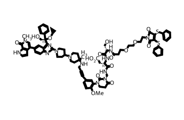 COc1ccc(C#CCNC2(C)CCN(C3CCN(c4nc([C@@](CO)(OC5CC5)c5ccccc5)c5cc(-c6cn(C)c(=O)c7[nH]ccc67)ccc5n4)CC3)CC2)cc1N1CCC(=O)N(CNC(=O)[C@H](CC(=O)O)NC(=O)[C@H](CO)NC(=O)CCOCCOCCN2C(=O)C(Sc3ccccc3)=C(Sc3ccccc3)C2=O)C1=O